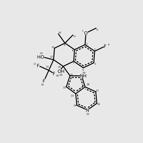 COc1c(F)ccc2c1C(C)(C)CC(O)(C(F)(F)F)C2(O)c1cc2cnccc2[nH]1